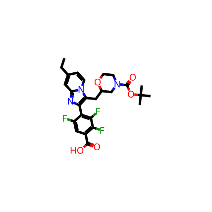 CCc1ccn2c(CC3CN(C(=O)OC(C)(C)C)CCO3)c(-c3c(F)cc(C(=O)O)c(F)c3F)nc2c1